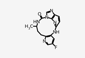 CC1CCc2ncc(F)cc2Nc2ccc3ncn(c3n2)C(=O)N1